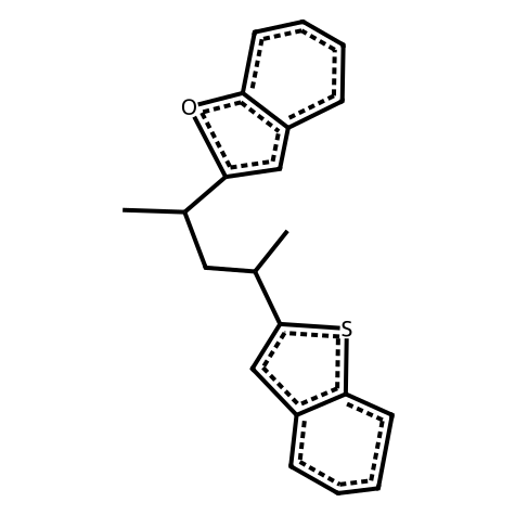 CC(CC(C)c1cc2ccccc2s1)c1cc2ccccc2o1